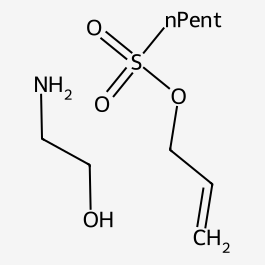 C=CCOS(=O)(=O)CCCCC.NCCO